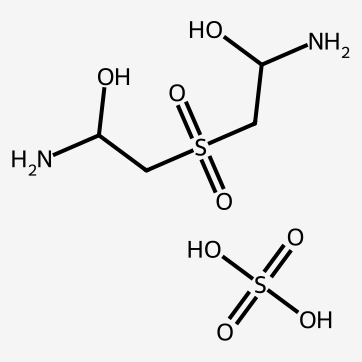 NC(O)CS(=O)(=O)CC(N)O.O=S(=O)(O)O